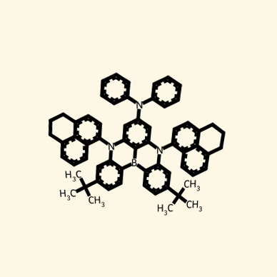 CC(C)(C)c1ccc2c(c1)N(c1ccc3c4c(cccc14)CCC3)c1cc(N(c3ccccc3)c3ccccc3)cc3c1B2c1ccc(C(C)(C)C)cc1N3c1ccc2c3c(cccc13)CCC2